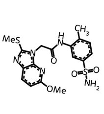 COc1ccc2nc(SC)n(CC(=O)Nc3cc(S(N)(=O)=O)ccc3C)c2n1